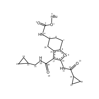 CCCCOC(=O)NC1CCc2sc(NC(=O)C3CC3)c(C(=O)NCC3CC3)c2C1